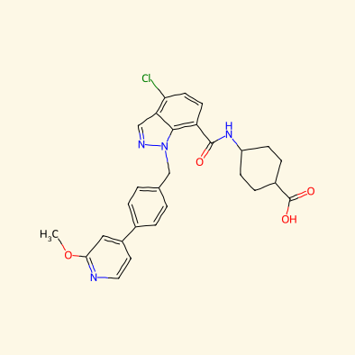 COc1cc(-c2ccc(Cn3ncc4c(Cl)ccc(C(=O)NC5CCC(C(=O)O)CC5)c43)cc2)ccn1